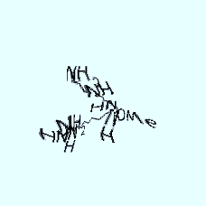 COC(CNCCCCNCCCN)NCCCCCCCNC(=N)N